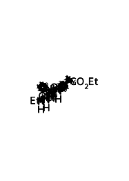 CCNC(=O)Nc1cc(Nc2ccccc2)c(C(=O)Nc2ccc([C@@H]3C[C@H]3C(=O)OCC)cc2)cn1